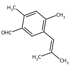 CC(C)=Cc1cc(C=O)c(C)cc1C